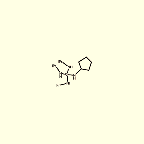 CC(C)N[Si](NC(C)C)(NC(C)C)NC1CCCC1